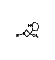 CC(C)N1CC(C)(C2CCCCN2)C1